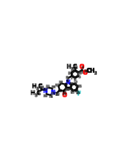 COC(=O)c1ccc(Cn2c3c(c4cc(F)ccc42)C(=O)C(CN2CCN(C(C)C)CC2)CC3)cc1C